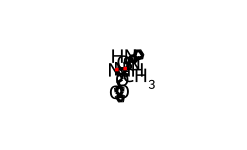 Cc1c(OCC2COC3(CCCC3)OC2)ccnc1C[S+]([O-])c1nc2ccccc2[nH]1.[NaH]